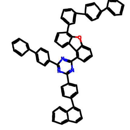 c1ccc(-c2ccc(-c3cccc(-c4cccc5c4oc4cccc(-c6nc(-c7ccc(-c8ccccc8)cc7)nc(-c7ccc(-c8cccc9ccccc89)cc7)n6)c45)c3)cc2)cc1